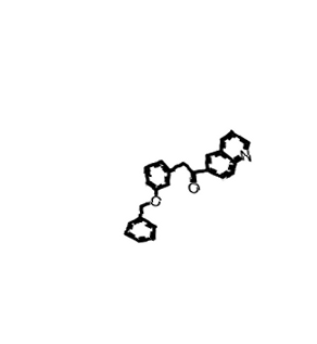 O=C(Cc1cccc(OCc2ccccc2)c1)c1ccc2ncccc2c1